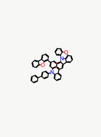 c1ccc(-c2ccc(N(c3cccc(-c4cccc5c4oc4ccccc45)c3)c3ccccc3-c3ccc4c(c3)c3cccc5c3n4-c3ccccc3O5)cc2)cc1